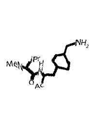 CNC(C(=O)NC(CC1CCC(CN)CC1)C(C)=O)C(C)C